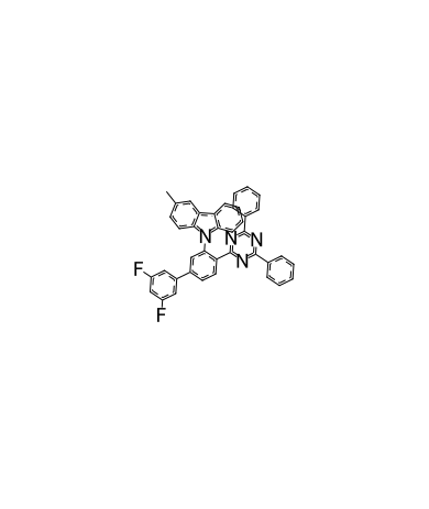 Cc1ccc2c(c1)c1ccccc1n2-c1cc(-c2cc(F)cc(F)c2)ccc1-c1nc(-c2ccccc2)nc(-c2ccccc2)n1